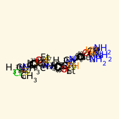 CCCCC(C)(Oc1ccc(/C=N/N(C)[PH](=S)C(C)(CC)Oc2ccc(/C=N/N(C)[PH](=S)C(C)(CC)Oc3ccc(/C=N/N(C)P(C)(=S)Cl)cc3)cc2)cc1)P(N)P(N)PN